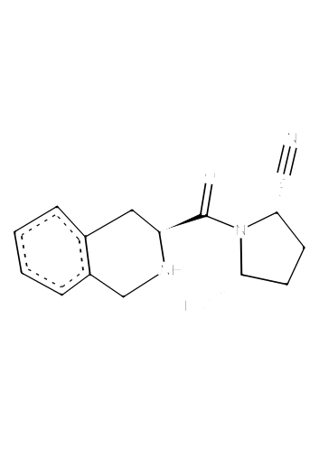 C[C@H]1CC[C@@H](C#N)N1C(=O)[C@@H]1Cc2ccccc2CN1